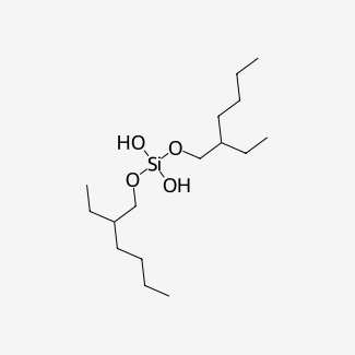 CCCCC(CC)CO[Si](O)(O)OCC(CC)CCCC